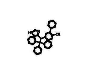 N#Cc1ccc(C(c2c[nH]cn2)C(c2ccccc2)(c2ccccc2)c2ccccc2)cc1-c1ccccc1